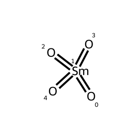 [O]=[Sm](=[O])(=[O])=[O]